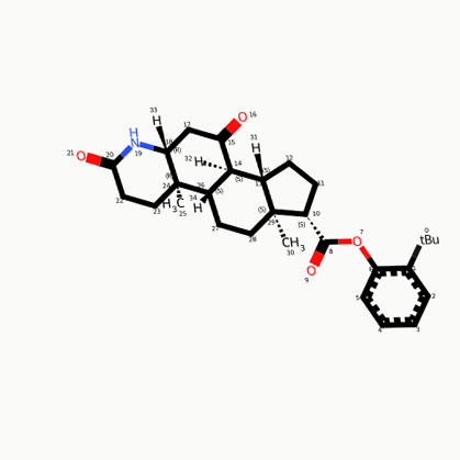 CC(C)(C)c1ccccc1OC(=O)[C@H]1CC[C@H]2[C@@H]3C(=O)C[C@H]4NC(=O)CC[C@]4(C)[C@H]3CC[C@]12C